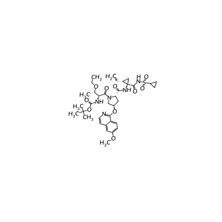 C=C[C@@H]1C[C@]1(NC(=O)[C@@H]1C[C@@H](Oc2nccc3cc(OC)ccc23)CN1C(=O)[C@@H](NC(=O)OC(C)(C)C)[C@H](C)OCC)C(=O)NS(=O)(=O)C1CC1